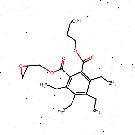 BCc1c(CB)c(CB)c(C(=O)OCC2CO2)c(C(=O)OCCS(=O)(=O)O)c1CB